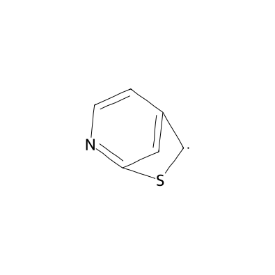 [CH]1Sc2cc1ccn2